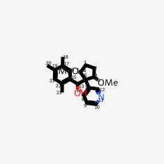 COC1CCC(OC)C1(c1cccnc1)C(O)c1cc(C)c(C)cc1C